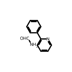 NC=O.c1ccc(-c2ccccn2)cc1